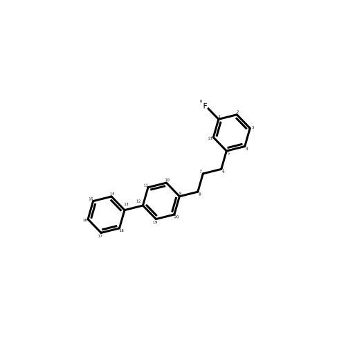 Fc1cccc([CH]CCc2ccc(-c3ccccc3)cc2)c1